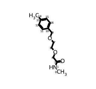 CNC(=O)COCCOCc1ccc(C)cc1